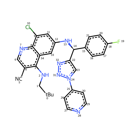 CC(C)(C)CNc1c(C#N)cnc2c(Cl)cc(N[C@@H](c3ccc(F)cc3)c3cn(-c4ccncc4)nn3)cc12